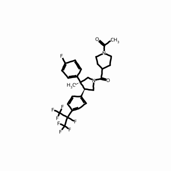 CC(=O)N1CCC(C(=O)N2C[C@@H](c3ccc(C(F)(C(F)(F)F)C(F)(F)F)cc3)[C@@](C)(c3ccc(F)cc3)C2)CC1